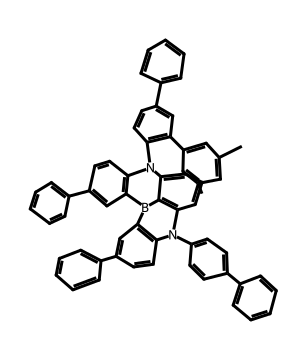 Cc1cc(C)cc(-c2cc(-c3ccccc3)ccc2N2c3ccc(-c4ccccc4)cc3B3c4cc(-c5ccccc5)ccc4N(c4ccc(-c5ccccc5)cc4)c4cccc2c43)c1